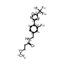 COCCC(=O)NCc1ccc(-c2noc(C(F)(F)F)n2)c(F)c1